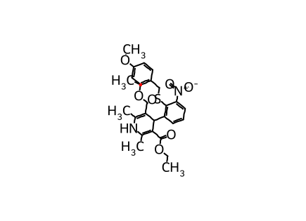 CCOC(=O)C1=C(C)NC(C)=C(C(=O)OCC)C1c1cccc([N+](=O)[O-])c1SCc1ccc(OC)cc1